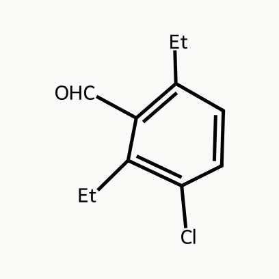 CCc1ccc(Cl)c(CC)c1C=O